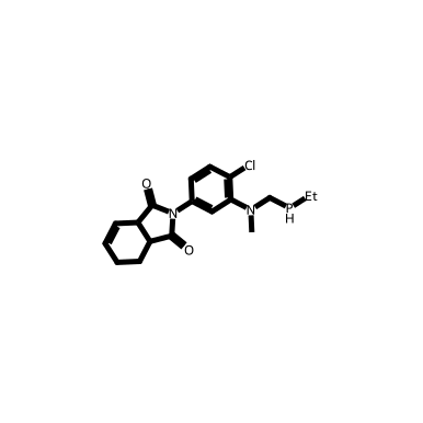 CCPCN(C)c1cc(N2C(=O)C3C=CCCC3C2=O)ccc1Cl